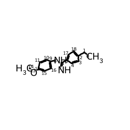 CCc1ccc(C(=N)Nc2ccc(OC)cc2)cc1